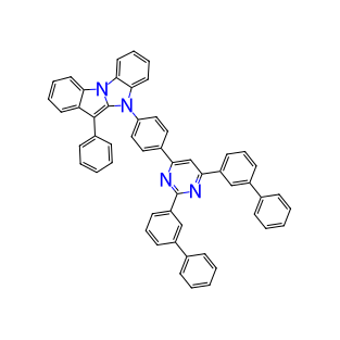 c1ccc(-c2cccc(-c3cc(-c4ccc(-n5c6ccccc6n6c7ccccc7c(-c7ccccc7)c56)cc4)nc(-c4cccc(-c5ccccc5)c4)n3)c2)cc1